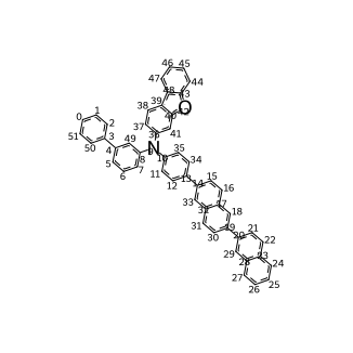 c1ccc(-c2cccc(N(c3ccc(-c4ccc5cc(-c6ccc7ccccc7c6)ccc5c4)cc3)c3ccc4c(c3)oc3ccccc34)c2)cc1